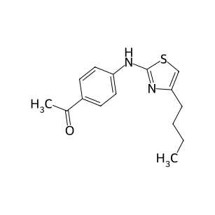 CCCCc1csc(Nc2ccc(C(C)=O)cc2)n1